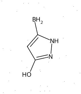 Bc1cc(O)n[nH]1